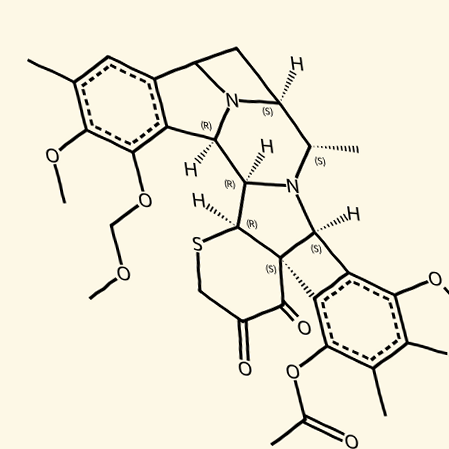 COCOc1c(OC)c(C)cc2c1[C@@H]1[C@@H]3[C@@H]4SCC(=O)C(=O)[C@@]45c4c(OC(C)=O)c(C)c6c(c4[C@@H]5N3[C@@H](C)[C@@H]3CC2N13)OCO6